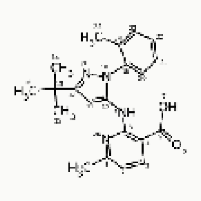 Cc1ccc(C(=O)O)c(Nc2cc(C(C)(C)C)nn2-c2ccccc2C)n1